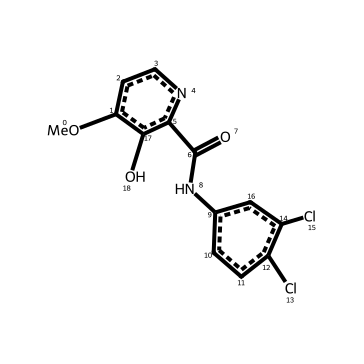 COc1ccnc(C(=O)Nc2ccc(Cl)c(Cl)c2)c1O